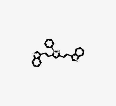 C(=C\c1csc2ccccc12)/c1cc(/C=C/c2csc3ccccc23)n(-c2ccccc2)n1